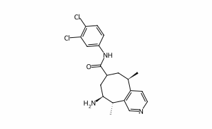 C[C@@H]1CC(C(=O)Nc2ccc(Cl)c(Cl)c2)C[C@H](N)[C@@H](C)c2cnccc21